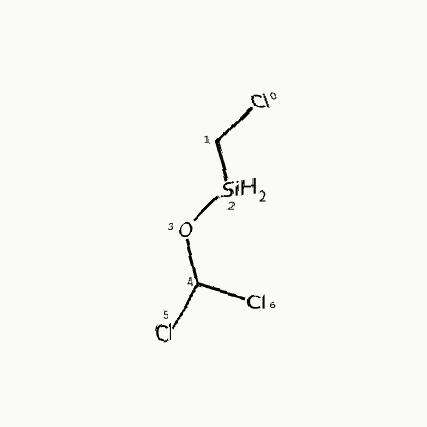 ClC[SiH2]OC(Cl)Cl